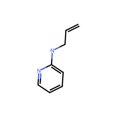 C=CC[N]c1ccccn1